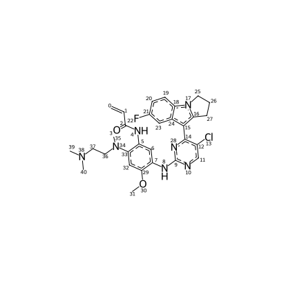 C=CC(=O)Nc1cc(Nc2ncc(Cl)c(-c3c4n(c5ccc(F)cc35)CCC4)n2)c(OC)cc1N(C)CCN(C)C